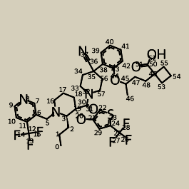 CCC[C@H]1N(Cc2cnccc2C(F)(F)F)CCC[C@@]1(Oc1csc(C(F)(F)F)c1)C(=O)N1CCC(C#N)(c2ccccc2OC(C)CCC2(C(=O)O)CCC2)CC1